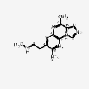 CNCCc1cc2nc(N)c3cncn3c2nc1N